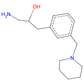 NCC(O)Cc1cccc(CN2CCCCC2)c1